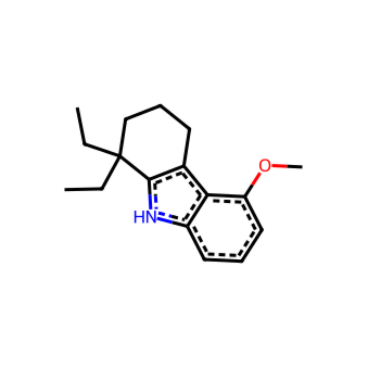 CCC1(CC)CCCc2c1[nH]c1cccc(OC)c21